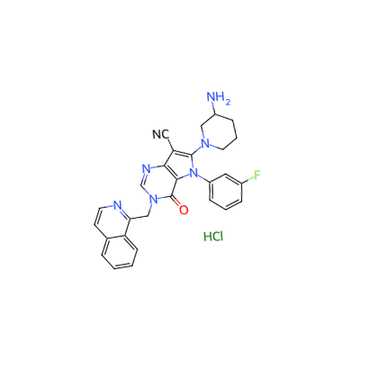 Cl.N#Cc1c(N2CCCC(N)C2)n(-c2cccc(F)c2)c2c(=O)n(Cc3nccc4ccccc34)cnc12